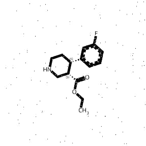 CCOC(=O)[C@@H]1CNCC[C@@H]1c1cccc(F)c1